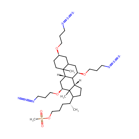 C[C@H](CCCOS(C)(=O)=O)C1CC[C@H]2C3[C@H](OCCCN=[N+]=[N-])CC4C[C@H](OCCCN=[N+]=[N-])CCC4(C)[C@H]3C[C@H](OCCCN=[N+]=[N-])C12C